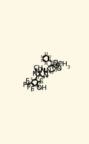 Cn1nc(-c2cc(C(F)(F)F)c(F)c(O)c2F)c2cnc(N3CCN(S(C)(=O)=O)[C@@H](Cc4ccccc4)C3)nc21